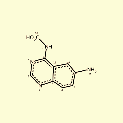 Nc1ccc2ncnc(NC(=O)O)c2c1